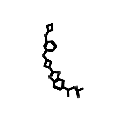 CC(=O)NC(C)c1ccc2nc(N3CC(Oc4cccc(OC5CCC5)c4)C3)oc2c1